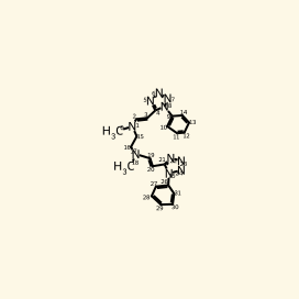 CN(/C=C/c1nnnn1-c1ccccc1)CCN(C)/C=C/c1nnnn1-c1ccccc1